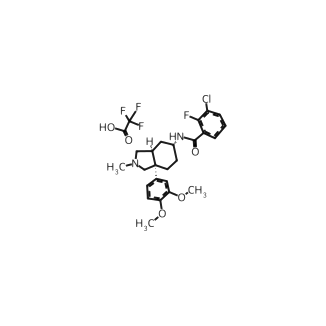 COc1ccc([C@@]23CC[C@@H](NC(=O)c4cccc(Cl)c4F)C[C@@H]2CN(C)C3)cc1OC.O=C(O)C(F)(F)F